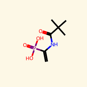 C=C(NC(=O)C(C)(C)C)P(=O)(O)O